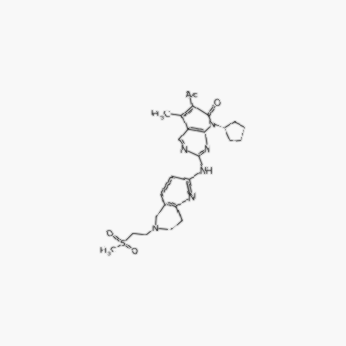 CC(=O)c1c(C)c2cnc(Nc3ccc4c(n3)CCN(CCS(C)(=O)=O)C4)nc2n(C2CCCC2)c1=O